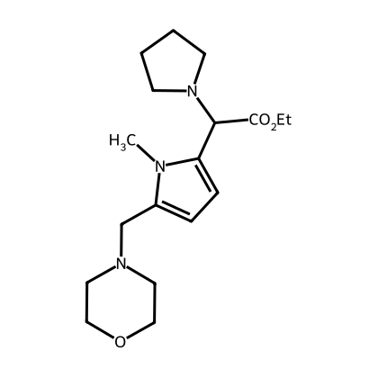 CCOC(=O)C(c1ccc(CN2CCOCC2)n1C)N1CCCC1